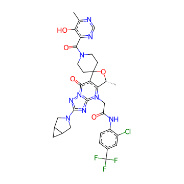 Cc1ncnc(C(=O)N2CCC3(CC2)O[C@H](C)c2c3c(=O)n3nc(N4CC5CC5C4)nc3n2CC(=O)Nc2ccc(C(F)(F)F)cc2Cl)c1O